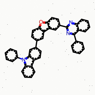 c1ccc(-c2nc(-c3ccc4oc5ccc(-c6ccc7c8ccccc8n(-c8ccccc8)c7c6)cc5c4c3)nc3ccccc23)cc1